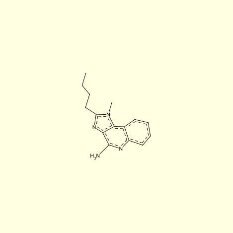 CCCCc1nc2c(N)nc3ccccc3c2n1C